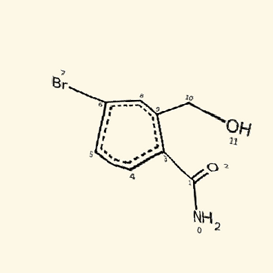 NC(=O)c1ccc(Br)cc1CO